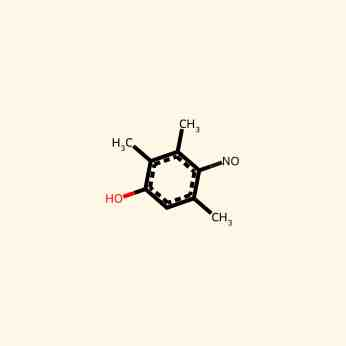 Cc1cc(O)c(C)c(C)c1N=O